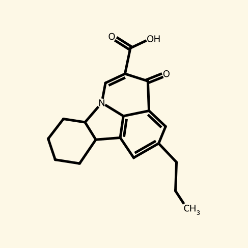 CCCc1cc2c3c(c1)c(=O)c(C(=O)O)cn3C1CCCCC21